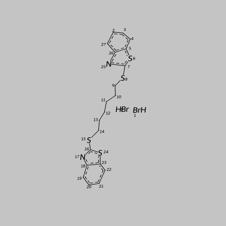 Br.Br.c1ccc2sc(SCCCCCCSc3nc4ccccc4s3)nc2c1